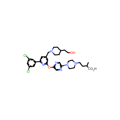 CC(CCN1CCN(c2cnc(Oc3cc(CN4CCC(CCO)CC4)cc(-c4cc(Cl)cc(Cl)c4)n3)cn2)CC1)C(=O)O